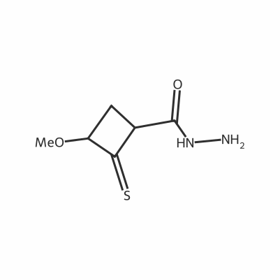 COC1CC(C(=O)NN)C1=S